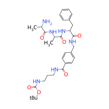 CC(N)C(=O)NC(C)C(=O)NC(Cc1ccccc1)C(=O)NCc1ccc(C(=O)NCCCNC(=O)OC(C)(C)C)cc1